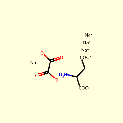 NC(CC(=O)[O-])C(=O)[O-].O=C([O-])C(=O)[O-].[Na+].[Na+].[Na+].[Na+]